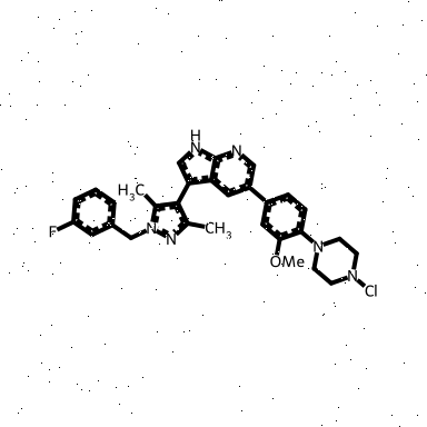 COc1cc(-c2cnc3[nH]cc(-c4c(C)nn(Cc5cccc(F)c5)c4C)c3c2)ccc1N1CCN(Cl)CC1